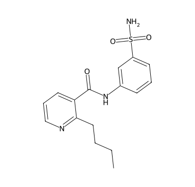 CCCCc1ncccc1C(=O)Nc1cccc(S(N)(=O)=O)c1